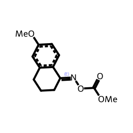 COC(=O)O/N=C1\CCCc2cc(OC)ccc21